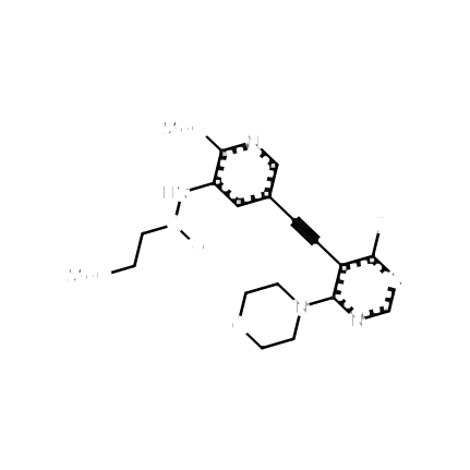 CCc1ncnc(N2CCOCC2)c1C#Cc1cnc(OC)c(N[S+]([O-])CCOC)c1